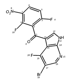 O=C(c1c(F)ccc([N+](=O)[O-])c1F)c1c[nH]c2ncc(Br)c(F)c12